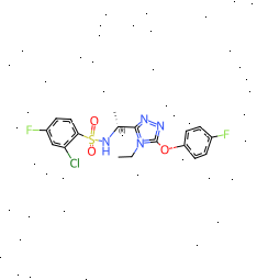 CCn1c(Oc2ccc(F)cc2)nnc1[C@@H](C)NS(=O)(=O)c1ccc(F)cc1Cl